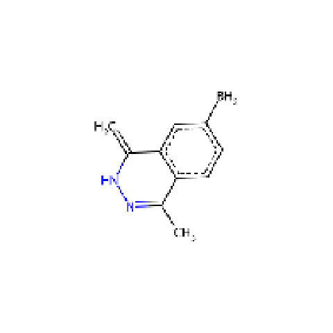 Bc1ccc2c(c1)C(=C)NN=C2C